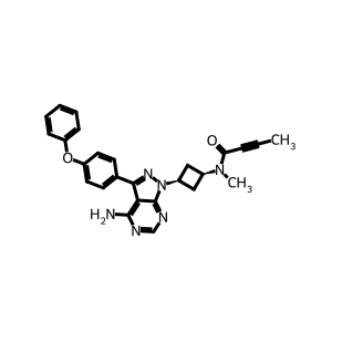 CC#CC(=O)N(C)[C@H]1C[C@@H](n2nc(-c3ccc(Oc4ccccc4)cc3)c3c(N)ncnc32)C1